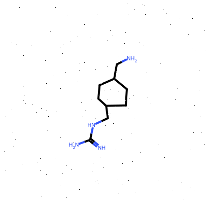 N=C(N)NC[C]1CCC(CN)CC1